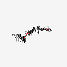 C#CCOC(=O)NCCOCCOCCC(=O)NCc1cnc(N2CCN(c3ncc(C(=O)NCCCCn4nc(-c5ccc6oc(N)nc6c5)c5c(N)ncnc54)cn3)CC2)nc1